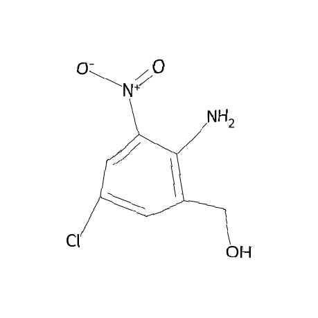 Nc1c(CO)cc(Cl)cc1[N+](=O)[O-]